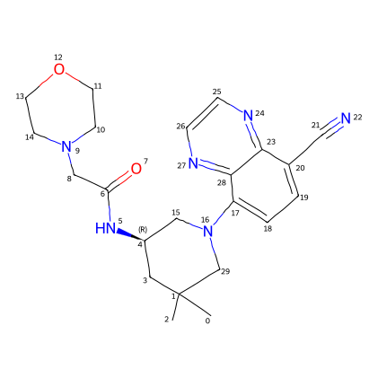 CC1(C)C[C@@H](NC(=O)CN2CCOCC2)CN(c2ccc(C#N)c3nccnc23)C1